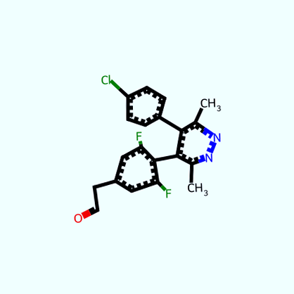 Cc1nnc(C)c(-c2c(F)cc(CC=O)cc2F)c1-c1ccc(Cl)cc1